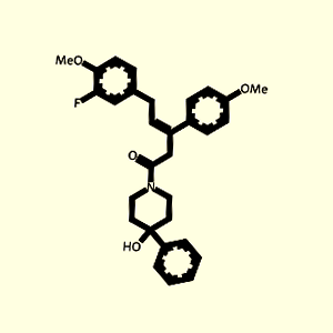 COc1ccc(/C(=C\Cc2ccc(OC)c(F)c2)CC(=O)N2CCC(O)(c3ccccc3)CC2)cc1